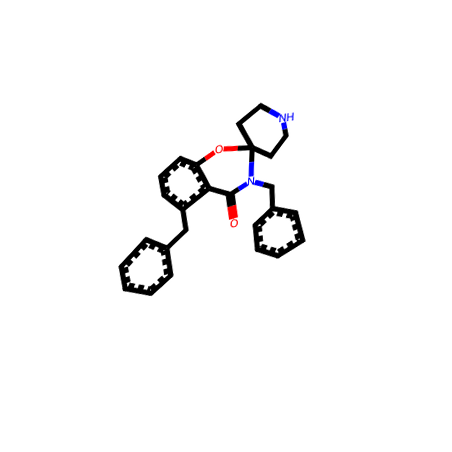 O=C1c2c(Cc3ccccc3)cccc2OC2(CCNCC2)N1Cc1ccccc1